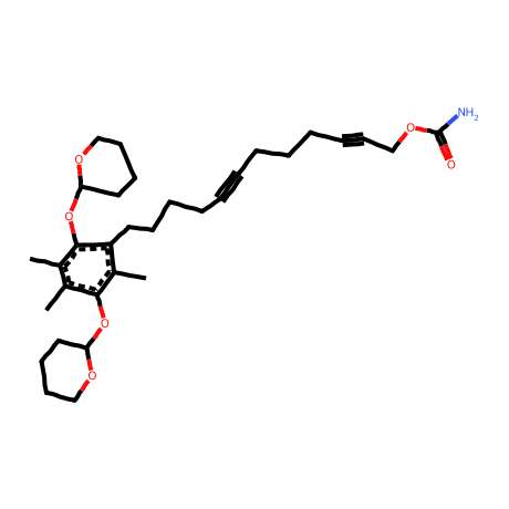 Cc1c(C)c(OC2CCCCO2)c(CCCCC#CCCCC#CCOC(N)=O)c(C)c1OC1CCCCO1